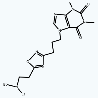 CCN(CC)CCc1nc(CCCn2cnc3c2c(=O)n(C)c(=O)n3C)no1